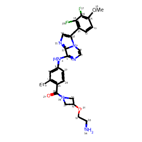 CCc1cc(Nc2nccn3c(-c4ccc(OC)c(F)c4F)cnc23)ccc1C(=O)N1CC(OCCN)C1